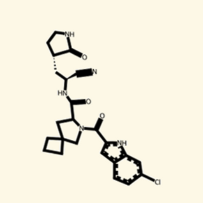 N#C[C@H](C[C@@H]1CCNC1=O)NC(=O)C1CC2(CCC2)CN1C(=O)c1cc2ccc(Cl)cc2[nH]1